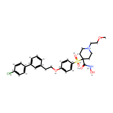 COCCN1CCC(C(=O)NO)(S(=O)(=O)c2ccc(OCCc3cccc(-c4ccc(Cl)cc4)c3)cc2)CC1